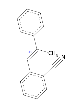 C/C(=C\c1ccccc1C#N)c1ccccc1